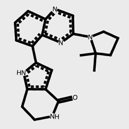 CC1(C)CCCN1c1cnc2cccc(-c3cc4c([nH]3)CCNC4=O)c2n1